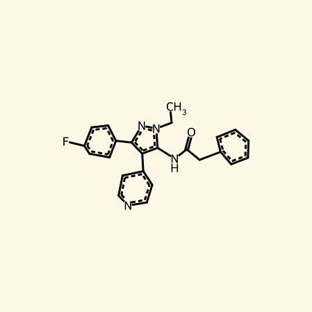 CCn1nc(-c2ccc(F)cc2)c(-c2ccncc2)c1NC(=O)Cc1ccccc1